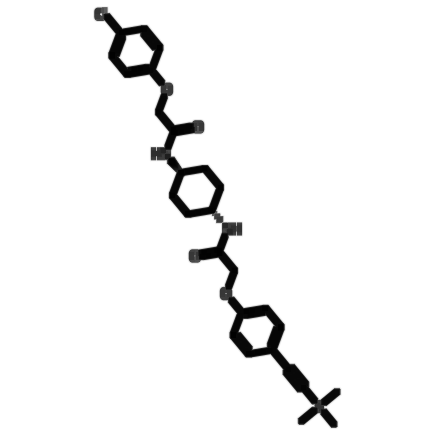 CS(C)(C)C#Cc1ccc(OCC(=O)N[C@H]2CC[C@H](NC(=O)COc3ccc(Cl)cc3)CC2)cc1